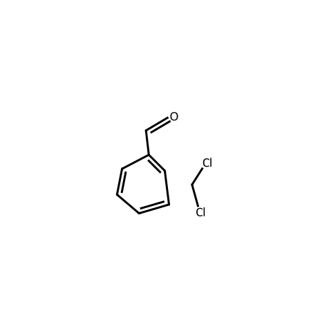 ClCCl.O=Cc1ccccc1